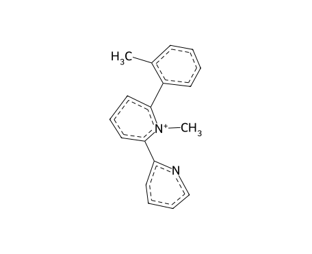 Cc1ccccc1-c1cccc(-c2ccccn2)[n+]1C